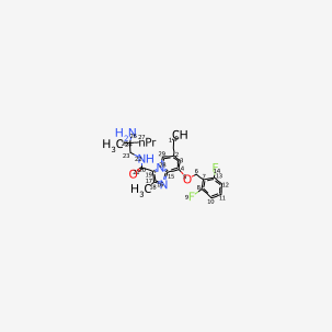 C#Cc1cc(OCc2c(F)cccc2F)c2nc(C)c(C(=O)NCC(C)(N)CCC)n2c1